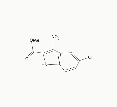 COC(=O)c1[nH]c2ccc(Cl)cc2c1[N+](=O)[O-]